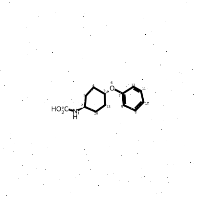 O=C(O)N[C@H]1CC[C@H](Oc2ccccc2)CC1